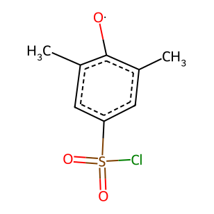 Cc1cc(S(=O)(=O)Cl)cc(C)c1[O]